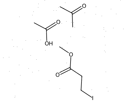 CC(=O)O.CC(C)=O.COC(=O)CCI